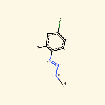 Cc1cc(Cl)ccc1N=NNC#N